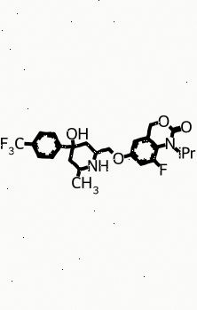 CC1CC(O)(c2ccc(C(F)(F)F)cc2)CC(COc2cc(F)c3c(c2)COC(=O)N3C(C)C)N1